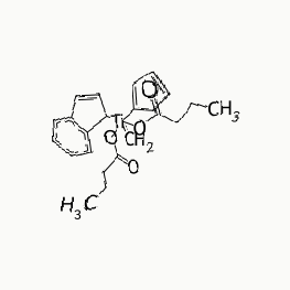 [CH2]=[Ti]([O]C(=O)CCC)([O]C(=O)CCC)([C]1=CC=CC1)[CH]1C=Cc2ccccc21